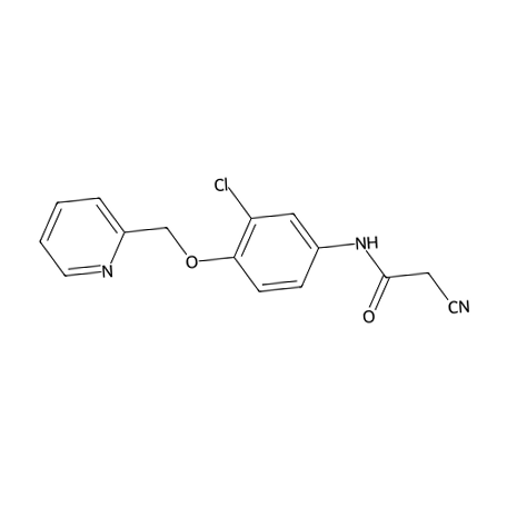 N#CCC(=O)Nc1ccc(OCc2ccccn2)c(Cl)c1